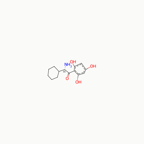 N[C@H](C(=O)c1c(O)cc(O)cc1O)C1CCCCC1